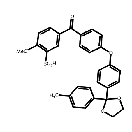 COc1ccc(C(=O)c2ccc(Oc3ccc(C4(c5ccc(C)cc5)OCCO4)cc3)cc2)cc1S(=O)(=O)O